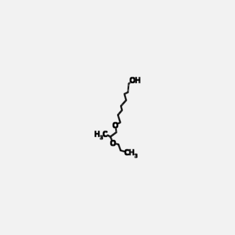 CCCOC(C)COCCCCCCCCO